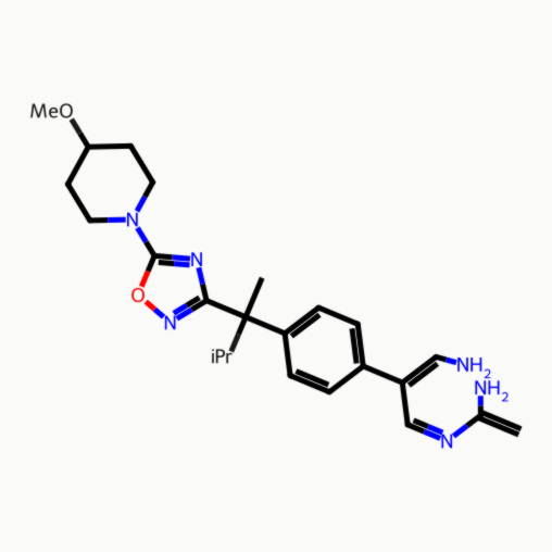 C=C(N)/N=C\C(=C/N)c1ccc(C(C)(c2noc(N3CCC(OC)CC3)n2)C(C)C)cc1